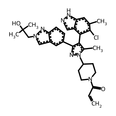 C=CC(=O)N1CCC(n2nc(-c3ccc4nn(CC(C)(C)O)cc4c3)c(-c3c(Cl)c(C)cc4[nH]ncc34)c2C)CC1